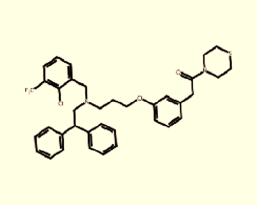 O=C(Cc1cccc(OCCCN(Cc2cccc(C(F)(F)F)c2Cl)CC(c2ccccc2)c2ccccc2)c1)N1CCSCC1